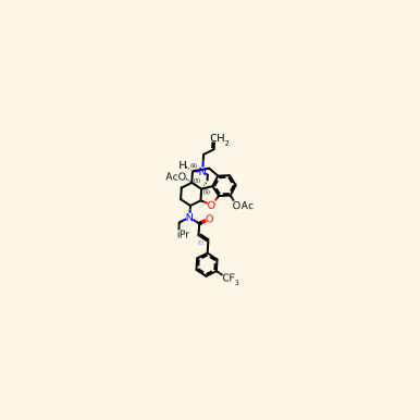 C=CCN1CC[C@]23c4c5ccc(OC(C)=O)c4OC2C(N(CC(C)C)C(=O)/C=C/c2cccc(C(F)(F)F)c2)CC[C@@]3(OC(C)=O)[C@H]1C5